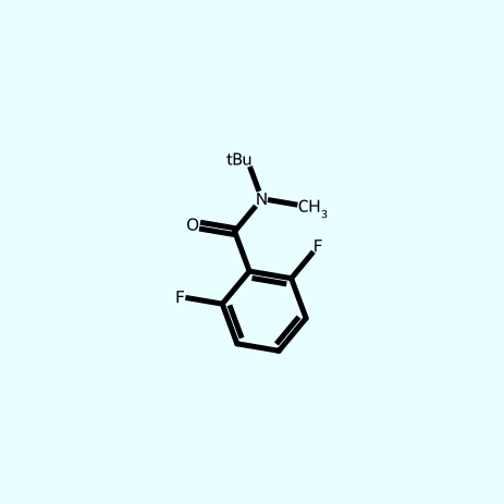 CN(C(=O)c1c(F)cccc1F)C(C)(C)C